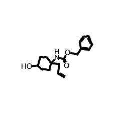 C=CCC1(NC(=O)OCc2ccccc2)CCC(O)CC1